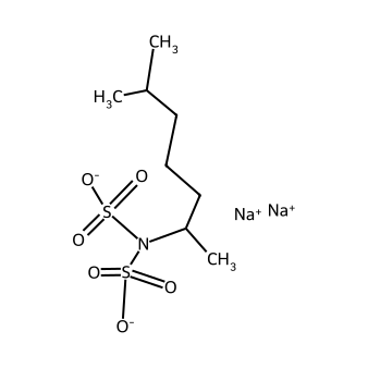 CC(C)CCCC(C)N(S(=O)(=O)[O-])S(=O)(=O)[O-].[Na+].[Na+]